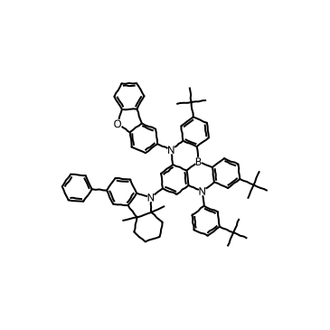 CC(C)(C)c1cccc(N2c3cc(C(C)(C)C)ccc3B3c4ccc(C(C)(C)C)cc4N(c4ccc5oc6ccccc6c5c4)c4cc(N5c6ccc(-c7ccccc7)cc6C6(C)CCCCC56C)cc2c43)c1